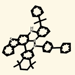 CC1(C)CCC(C)(C)c2cc3c(cc21)-c1c2c(cc4sc5ccccc5c14)Nc1c(cccc1C(C)(C)c1ccccc1)B2N3c1ccc(-c2ccccc2)cc1